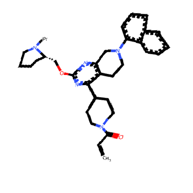 C=CC(=O)N1CCC(c2nc(OC[C@@H]3CCCN3C(C)C)nc3c2CCN(c2cccc4ccccc24)C3)CC1